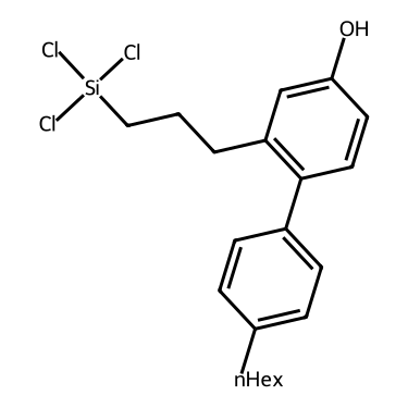 CCCCCCc1ccc(-c2ccc(O)cc2CCC[Si](Cl)(Cl)Cl)cc1